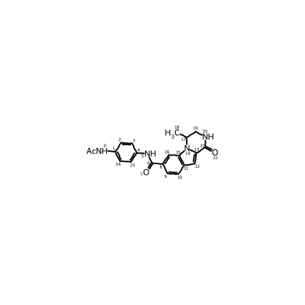 CC(=O)Nc1ccc(NC(=O)c2ccc3cc4n(c3c2)C(C)CNC4=O)cc1